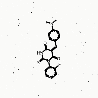 CN(C)c1ccc(C=C2C(=O)NC(=S)N(c3ccccc3F)C2=O)cc1